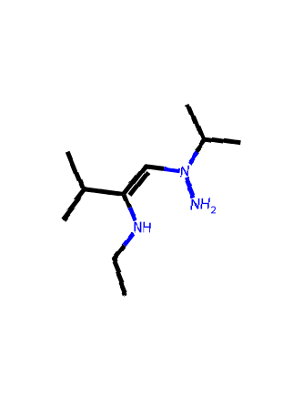 CCN/C(=C\N(N)C(C)C)C(C)C